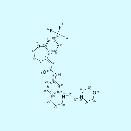 O=C(/C=C1\CCCOc2cc(C(F)(F)F)ccc21)Nc1ccc2c(c1)N(CCN1CCOCC1)CCC2